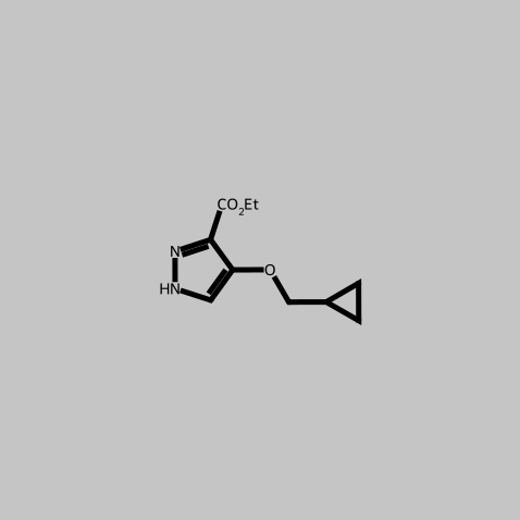 CCOC(=O)c1n[nH]cc1OCC1CC1